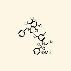 COc1ccccc1S(=O)(=O)N(CC#N)c1cc(C)cc(OCCN(Cc2ccccc2)c2c(Cl)c(Cl)nc(Cl)c2Cl)c1